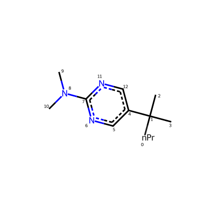 CCCC(C)(C)c1cnc(N(C)C)nc1